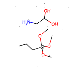 CCC[Si](OC)(OC)OC.NCC(O)O